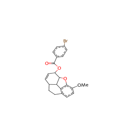 COc1ccc2c3c1OC1C(OC(=O)c4ccc(Br)cc4)C=CC(CC2)C31